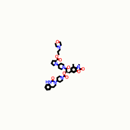 Cc1cc(C[C@@H](OC(=O)N2CCC(N3CCc4ccccc4NC3=O)CC2)C(=O)N2CCC(N3CCC[C@H]3C(=O)OCCCN3CCOCC3)CC2)cc2oc(=O)n(C)c12